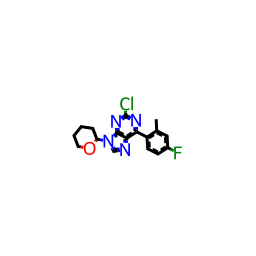 Cc1cc(F)ccc1-c1nc(Cl)nc2c1ncn2C1CCCCO1